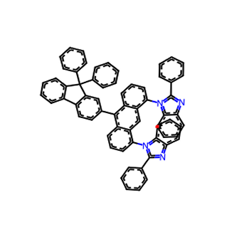 c1ccc(-c2nc3ccccc3n2-c2cccc3c(-c4ccc5c(c4)C(c4ccccc4)(c4ccccc4)c4ccccc4-5)c4cccc(-n5c(-c6ccccc6)nc6ccccc65)c4cc23)cc1